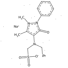 Cc1c(N(CC(C)C)CS(=O)(=O)[O-])c(=O)n(-c2ccccc2)n1C.[Na+]